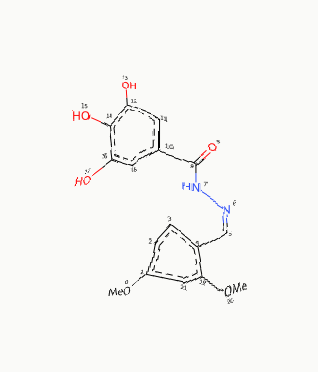 COc1ccc(/C=N\NC(=O)c2cc(O)c(O)c(O)c2)c(OC)c1